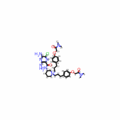 CN(C)C(=O)COc1ccc(CCC[N+]2(CCCc3ccc(OCC(=O)N(C)C)cc3)CCC[C@H](NC(=O)c3nc(Cl)c(N)nc3N)C2)cc1